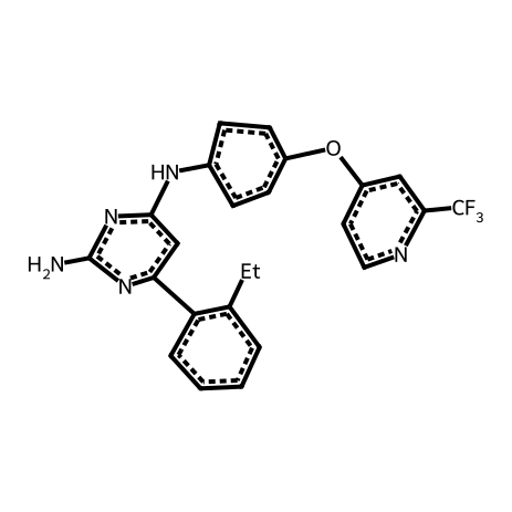 CCc1ccccc1-c1cc(Nc2ccc(Oc3ccnc(C(F)(F)F)c3)cc2)nc(N)n1